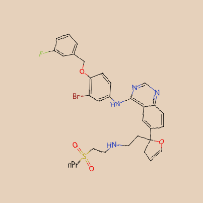 CCCS(=O)(=O)CCNCCC1(c2ccc3ncnc(Nc4ccc(OCc5cccc(F)c5)c(Br)c4)c3c2)CC=CO1